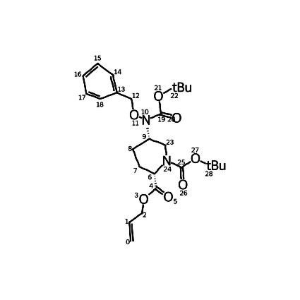 C=CCOC(=O)[C@@H]1CC[C@H](N(OCc2ccccc2)C(=O)OC(C)(C)C)CN1C(=O)OC(C)(C)C